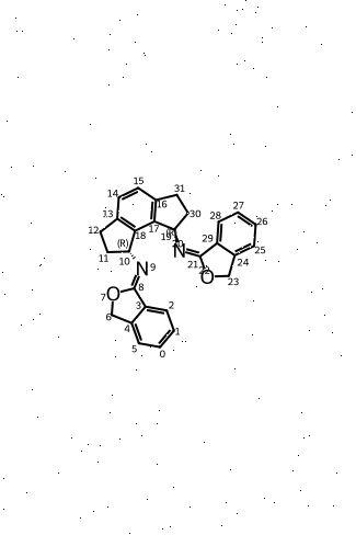 c1ccc2c(c1)COC2=N[C@@H]1CCc2ccc3c(c21)[C@H](N=C1OCc2ccccc21)CC3